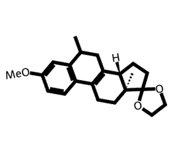 COc1ccc2c(c1)C(C)CC1=C2CC[C@@]2(C)[C@H]1CCC21OCCO1